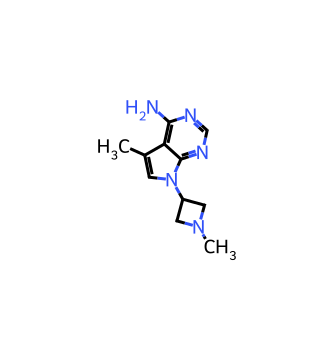 Cc1cn(C2CN(C)C2)c2ncnc(N)c12